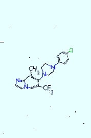 Cc1c(N2CCN(c3ccc(Cl)cc3)CC2)c(C(F)(F)F)cn2ccnc12